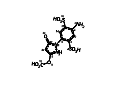 Nc1cc(S(=O)(=O)O)c(-n2[nH]c(OC(=O)O)cc2=O)cc1S(=O)(=O)O